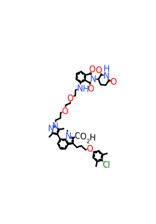 Cc1cc(OCCCc2c(C(=O)O)n(C)c3c(-c4c(C)nn(CCCOCCOCCNc5cccc6c5C(=O)N(C5CCC(=O)NC5=O)C6=O)c4C)cccc23)cc(C)c1Cl